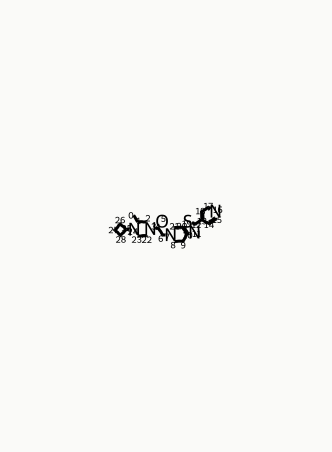 CC1CN(C(=O)CN2CCc3nc(-c4ccncc4)sc3C2)CCN1C1CCC1